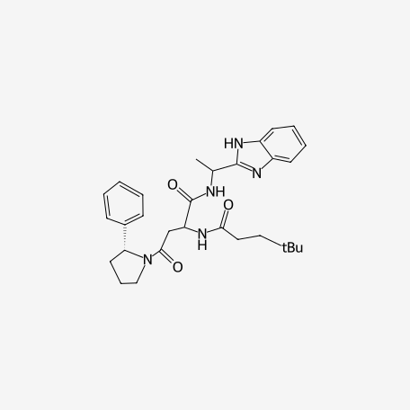 CC(NC(=O)C(CC(=O)N1CCC[C@@H]1c1ccccc1)NC(=O)CCC(C)(C)C)c1nc2ccccc2[nH]1